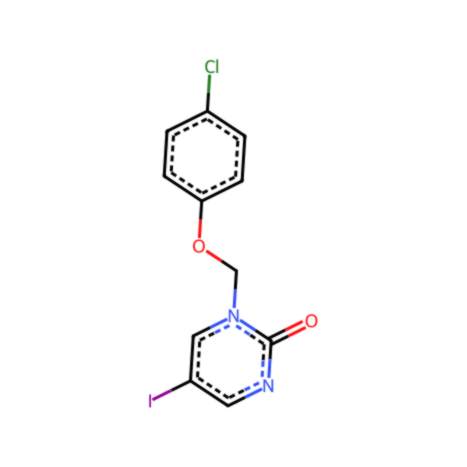 O=c1ncc(I)cn1COc1ccc(Cl)cc1